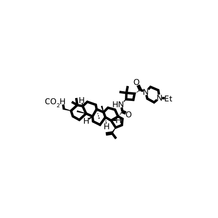 C=C(C)[C@@H]1CC[C@]2(C(=O)N[C@H]3C[C@@H](C(=O)N4CCN(CC)CC4)C3(C)C)CC[C@]3(C)[C@H](CC[C@@H]4[C@]5(C)CC[C@@H](CC(=O)O)C(C)(C)[C@H]5CC[C@]43C)[C@@H]12